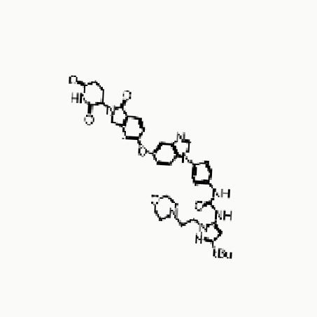 CC(C)(C)c1cc(NC(=O)Nc2ccc(-n3cnc4cc(Oc5[c]c6c(cc5)C(=O)N(C5CCC(=O)NC5=O)C6)ccc43)cc2)n(CCN2CCOCC2)n1